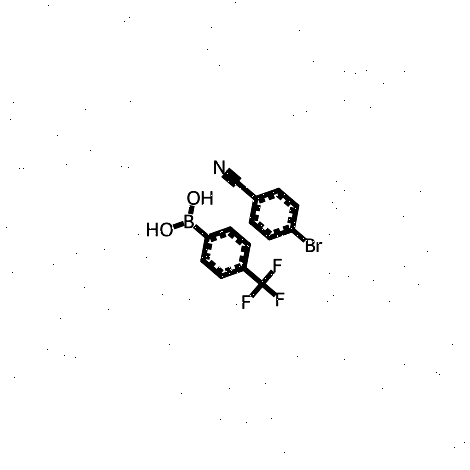 N#Cc1ccc(Br)cc1.OB(O)c1ccc(C(F)(F)F)cc1